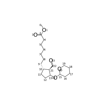 COC(=O)CCCCCC[C@H]1CCC(OC2CCCCO2)[C@@H]1C=O